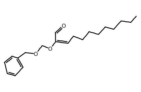 CCCCCCCCC/C=C(\C=O)OCOCc1ccccc1